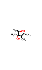 C=C(O)C(C)(O)C(C)CC